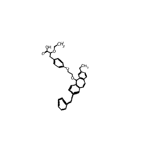 CCOC(Cc1ccc(OCCOC2c3ccc(Cc4ccccc4)cc3C=Cc3ccc(CC)cc32)cc1)C(=O)O